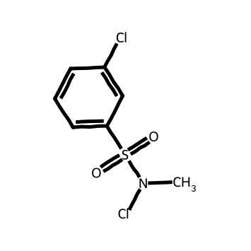 CN(Cl)S(=O)(=O)c1cccc(Cl)c1